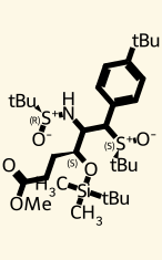 COC(=O)CC[C@H](O[Si](C)(C)C(C)(C)C)C(N[S@@+]([O-])C(C)(C)C)C(c1ccc(C(C)(C)C)cc1)[S@@+]([O-])C(C)(C)C